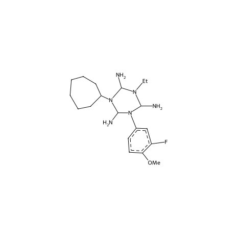 CCN1C(N)N(c2ccc(OC)c(F)c2)C(N)N(C2CCCCCC2)C1N